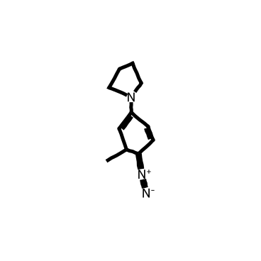 CC1C=C(N2CCCC2)C=CC1=[N+]=[N-]